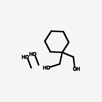 CO.CO.OCC1(CO)CCCCC1